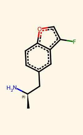 C[C@@H](N)Cc1ccc2occ(F)c2c1